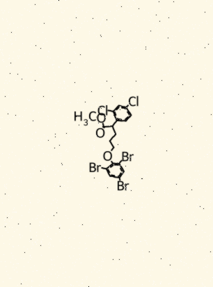 COC(=O)C(CCCOc1c(Br)cc(Br)cc1Br)c1ccc(Cl)cc1Cl